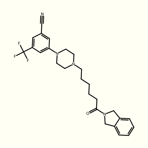 N#Cc1cc(N2CCN(CCCCCC(=O)N3Cc4ccccc4C3)CC2)cc(C(F)(F)F)c1